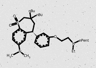 CCCCCN(CC)CCOc1cccc([C@H]2CC(CCCC)(CCCC)CS(=O)(=O)c3ccc(N(C)C)cc32)c1